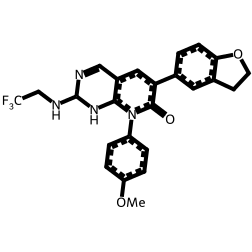 COc1ccc(-n2c3c(cc(-c4ccc5c(c4)CCO5)c2=O)C=NC(NCC(F)(F)F)N3)cc1